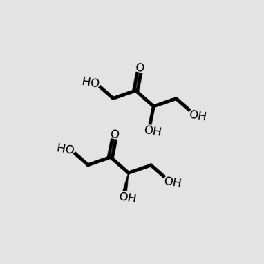 O=C(CO)C(O)CO.O=C(CO)[C@H](O)CO